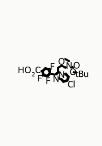 CC(C)(C)OC(=O)N1CCOC(Cc2c(-c3c(F)cc(C(=O)O)c(F)c3F)nc3cc(Cl)ccn23)C1